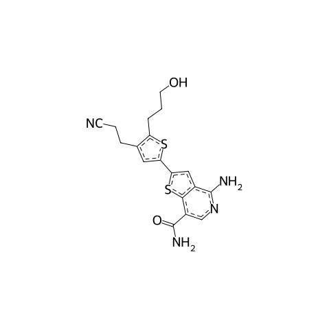 N#CCCc1cc(-c2cc3c(N)ncc(C(N)=O)c3s2)sc1CCCO